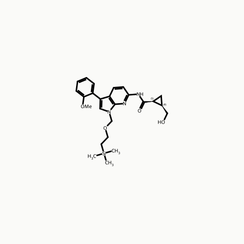 COc1ccccc1-c1cn(COCC[Si](C)(C)C)c2nc(NC(=O)[C@H]3C[C@H]3CO)ccc12